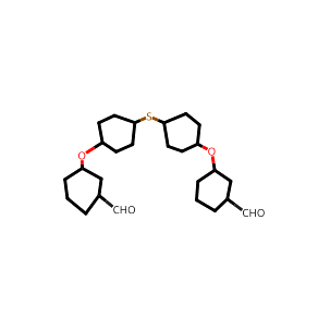 O=CC1CCCC(OC2CCC(SC3CCC(OC4CCCC(C=O)C4)CC3)CC2)C1